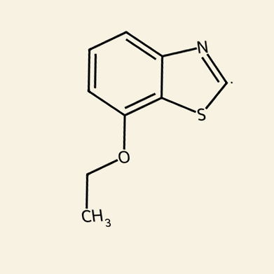 CCOc1cccc2n[c]sc12